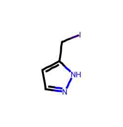 ICc1ccn[nH]1